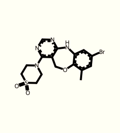 Cc1cc(Br)cc2c1OCc1c(ncnc1N1CCS(=O)(=O)CC1)N2